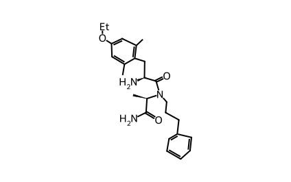 CCOc1cc(C)c(C[C@H](N)C(=O)N(CCCc2ccccc2)[C@H](C)C(N)=O)c(C)c1